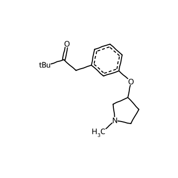 CN1CCC(Oc2cccc(CC(=O)C(C)(C)C)c2)C1